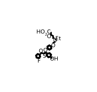 CCN(CCOc1ccc(Oc2c(C(=O)c3cccc(F)c3)sc3cc(O)ccc23)cc1)CCC(=O)CC(=O)O